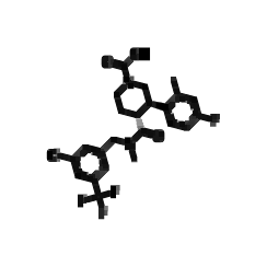 Cc1cc(F)ccc1[C@@H]1CN(C(=O)O)CC[C@H]1C(=O)N(C)Cc1cc(Cl)cc(C(F)(F)F)c1